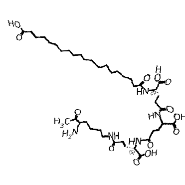 CC(=O)C(N)CCCCNC(=O)CC[C@H](NC(=O)CCC(NC(=O)CC[C@H](NC(=O)CCCCCCCCCCCCCCCCCCC(=O)O)C(=O)O)C(=O)O)C(=O)O